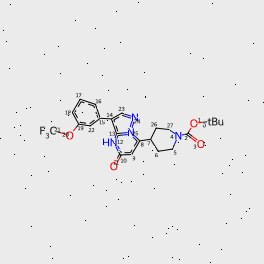 CC(C)(C)OC(=O)N1CCC(c2cc(=O)[nH]c3c(-c4cccc(OC(F)(F)F)c4)cnn23)CC1